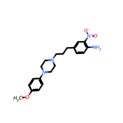 COc1ccc(N2CCN(CCCc3ccc(N)c([N+](=O)[O-])c3)CC2)cc1